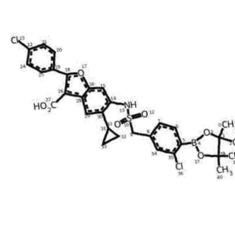 CC1(C)OB(c2ccc(CS(=O)(=O)Nc3cc4oc(-c5ccc(Cl)cc5)c(C(=O)O)c4cc3C3CC3)cc2Cl)OC1(C)C